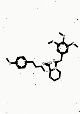 COc1ccc(CCCC[C@@]2(C(=O)O)CCCCN2C(=O)Cc2cc(OC)c(OC)c(OC)c2)cc1